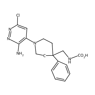 Nc1nnc(Cl)cc1N1CCC(CNC(=O)O)(c2ccccc2)CC1